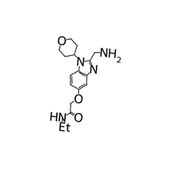 CCNC(=O)COc1ccc2c(c1)nc(CN)n2C1CCOCC1